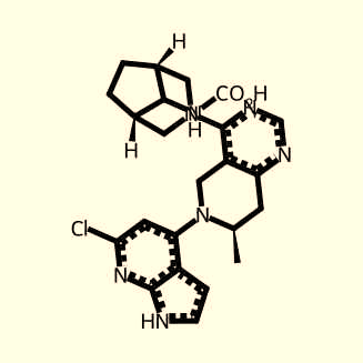 C[C@@H]1Cc2ncnc(N3C[C@H]4CC[C@@H](C3)C4NC(=O)O)c2CN1c1cc(Cl)nc2[nH]ccc12